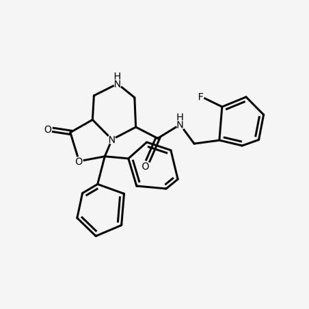 O=C(NCc1ccccc1F)C1CNCC2C(=O)OC(c3ccccc3)(c3ccccc3)N12